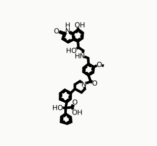 COc1cc(C(=O)N2CCC(c3cccc(C(O)(C(=O)O)c4ccccc4)c3)CC2)ccc1CNCC(O)c1ccc(O)c2[nH]c(=O)ccc12